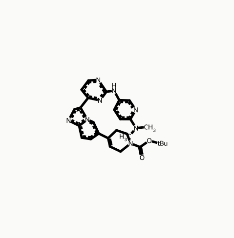 CN(C)c1ccc(Nc2nccc(-c3cnc4ccc(C5=CCN(C(=O)OC(C)(C)C)CC5)cn34)n2)cn1